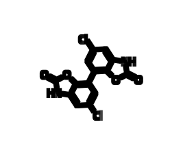 O=c1[nH]c2cc(Cl)cc(-c3cc(Cl)cc4[nH]c(=O)oc34)c2o1